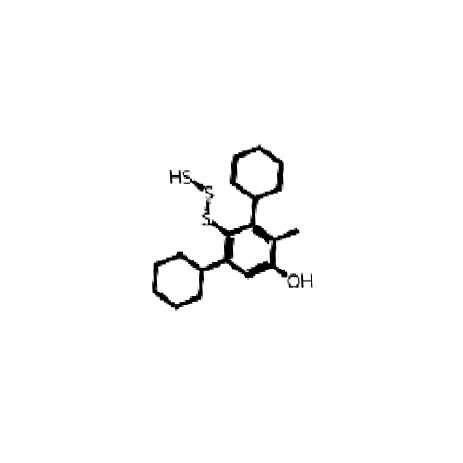 Cc1c(O)cc(C2CCCCC2)c(SSS)c1C1CCCCC1